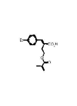 C=C(C)C(=O)OCCC(=Cc1ccc(CC)cc1)C(=O)O